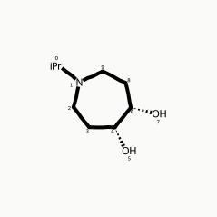 CC(C)N1CC[C@@H](O)[C@@H](O)CC1